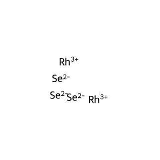 [Rh+3].[Rh+3].[Se-2].[Se-2].[Se-2]